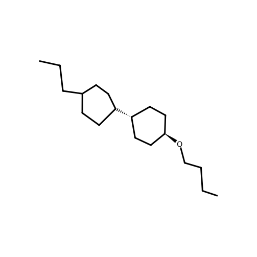 CCCCO[C@H]1CC[C@H](C2CCC(CCC)CC2)CC1